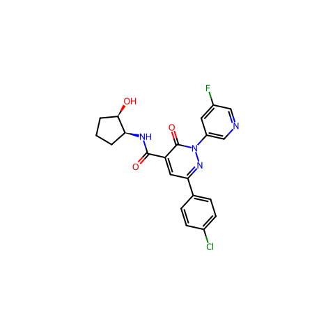 O=C(N[C@H]1CCC[C@H]1O)c1cc(-c2ccc(Cl)cc2)nn(-c2cncc(F)c2)c1=O